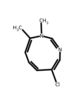 Cc1cccc(Cl)cncn1C